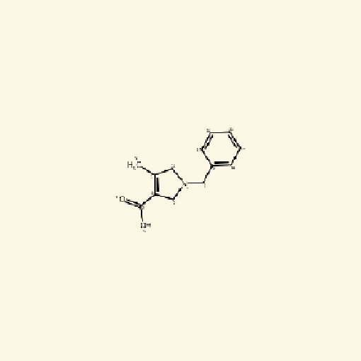 CC1=C(C(=O)O)CN(Cc2ccccc2)C1